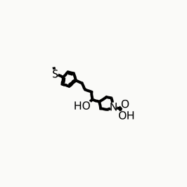 CSc1ccc(CCCC(O)C2CCN(C(=O)O)CC2)cc1